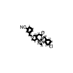 N#Cc1cccc(CN2CCC3=C(CC(=O)N(Cc4ccc(Cl)cc4)c4ncnn43)C2)c1